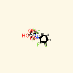 O[Si](O)(O)C(F)(F)N(F)c1cccc(F)c1F